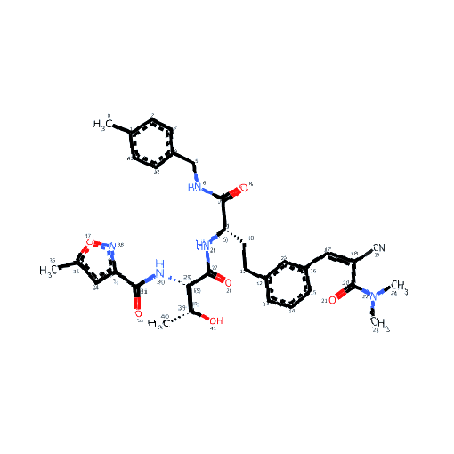 Cc1ccc(CNC(=O)[C@H](CCc2cccc(C=C(C#N)C(=O)N(C)C)c2)NC(=O)[C@@H](NC(=O)c2cc(C)on2)[C@@H](C)O)cc1